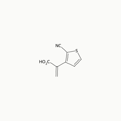 C=C(C(=O)O)c1ccsc1C#N